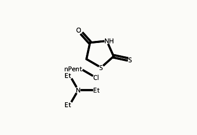 CCCCCCl.CCN(CC)CC.O=C1CSC(=S)N1